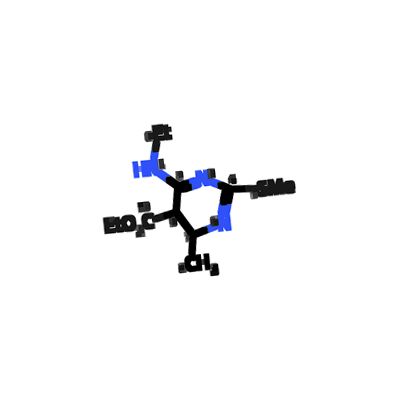 CCNC1=NC(SC)=NC(C)C1C(=O)OCC